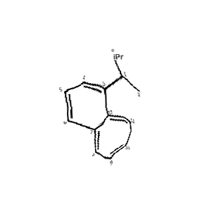 [CH2]C(C)C(C)c1cccc2ccccc12